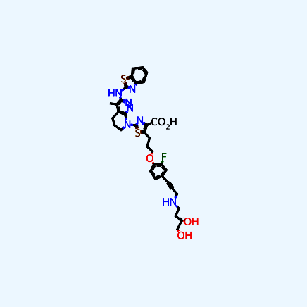 Cc1c(Nc2nc3ccccc3s2)nnc2c1CCCN2c1nc(C(=O)O)c(CCCOc2ccc(C#CCNCC[C@H](O)CO)cc2F)s1